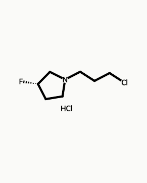 Cl.F[C@H]1CCN(CCCCl)C1